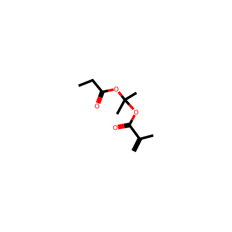 C=C(C)C(=O)OC(C)(C)OC(=O)CC